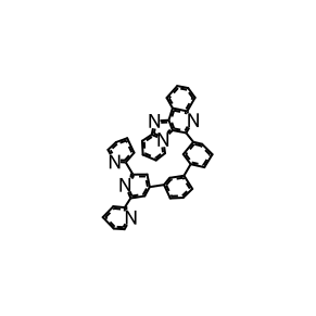 c1ccc(-c2cc(-c3cccc(-c4cccc(-c5nc6ccccc6c6nc7ccccn7c56)c4)c3)cc(-c3ccccn3)n2)nc1